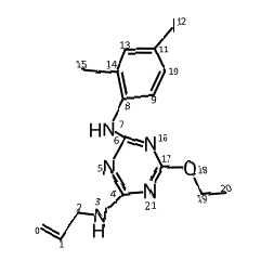 C=CCNc1nc(Nc2ccc(I)cc2C)nc(OCC)n1